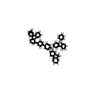 CC1(C)c2ccccc2-c2ccc(N(c3ccc(-c4ccc(-c5cccc6c5-c5ccccc5C65CC6CCC5C6)cc4)cc3)c3ccc4c(c3)c3ccccc3n4-c3ccccc3)cc21